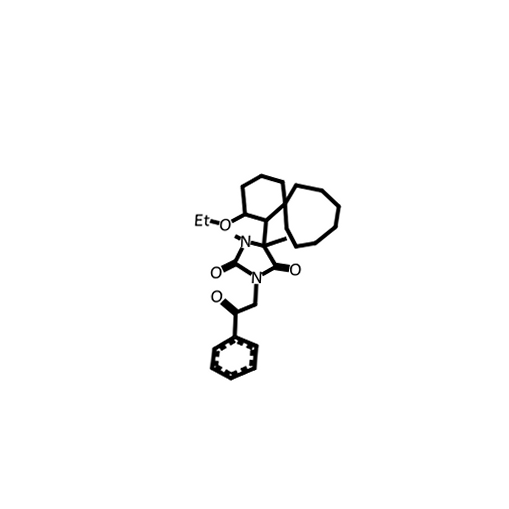 CCOC1CCCC2(CCCCCCC2)C1C1(C)C(=O)N(CC(=O)c2ccccc2)C(=O)N1C